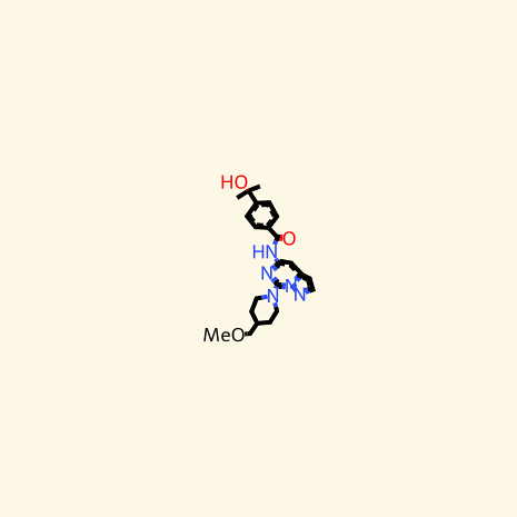 COCC1CCN(c2nc(NC(=O)c3ccc(C(C)(C)O)cc3)cc3ccnn23)CC1